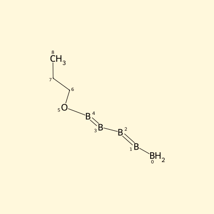 BB=BB=BOCCC